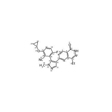 CCc1n[nH]c(=O)c2ccc(-c3cnn(C)c3-c3c(F)ccc(OC4CC4)c3C#N)cc12